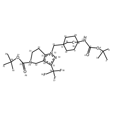 CC(C)(C)OC(=O)NC12CCC(Cn3nc(C(F)(F)F)c4c3CCN(C(=O)OC(C)(C)C)C4)(CC1)CC2